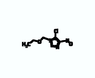 CCOCn1cnc(N=O)c1Cl